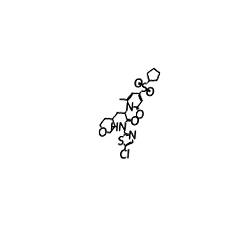 Cc1cc(S(=O)(=O)C2CCCC2)cc(=O)n1C(CC1CCOCC1)C(=O)Nc1ncc(Cl)s1